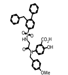 COc1ccc(CN(C(=O)CNS(=O)(=O)c2ccc(-c3ccccc3)c(Cc3ccccc3)c2)c2ccc(O)c(C(=O)O)c2)cc1